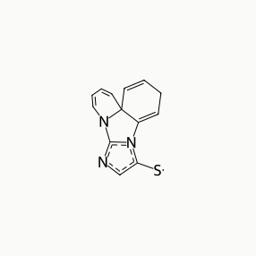 [S]c1cnc2n1C1=CCC=CC13C=CC=CN23